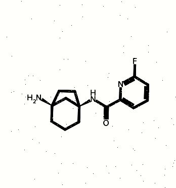 N[C@@]12CCC[C@@](NC(=O)c3cccc(F)n3)(CC1)C2